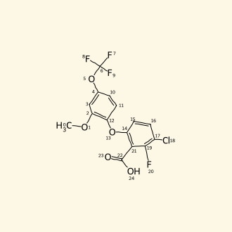 COc1cc(OC(F)(F)F)ccc1Oc1ccc(Cl)c(F)c1C(=O)O